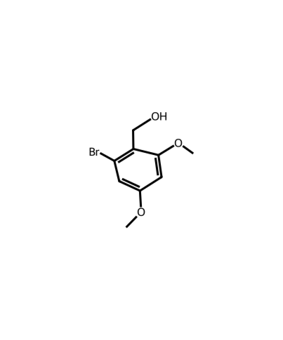 COc1cc(Br)c(CO)c(OC)c1